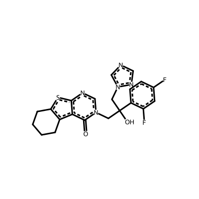 O=c1c2c3c(sc2ncn1CC(O)(Cn1cncn1)c1ccc(F)cc1F)CCCC3